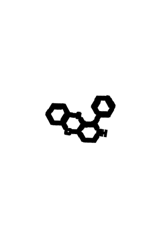 C1=CC2=C(CC1)OC1CCNC(c3ccccc3)=C1S2